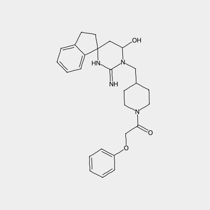 N=C1NC2(CCc3ccccc32)CC(O)N1CC1CCN(C(=O)COc2ccccc2)CC1